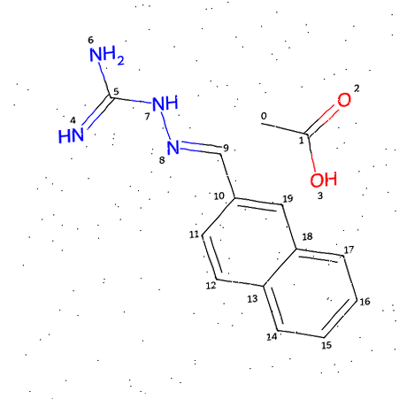 CC(=O)O.N=C(N)N/N=C/c1ccc2ccccc2c1